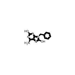 Nc1nc(O)nc2c1nc(O)n2Cc1ccccc1